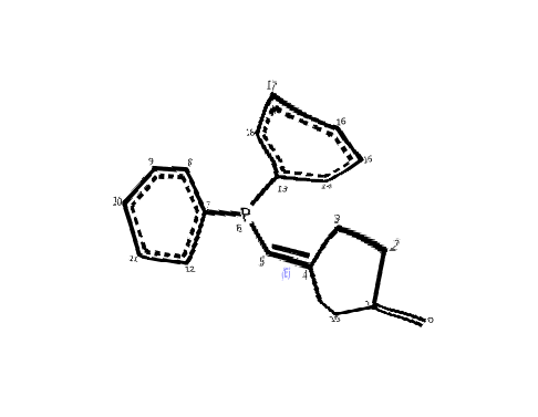 C=C1CC/C(=C\P(c2ccccc2)c2ccccc2)C1